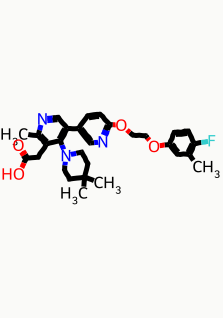 Cc1cc(OCCOc2ccc(-c3cnc(C)c(CC(=O)O)c3N3CCC(C)(C)CC3)cn2)ccc1F